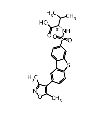 Cc1noc(C)c1-c1ccc2sc3cc(S(=O)(=O)N[C@H](C(=O)O)C(C)C)ccc3c2c1